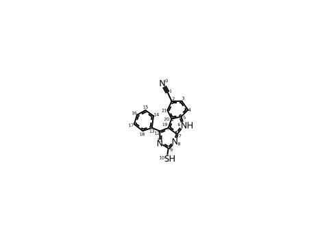 N#Cc1ccc2[nH]c3nc(S)nc(-c4ccccc4)c3c2c1